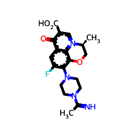 CC(=N)N1CCN(c2c(F)cc3c(=O)c(C(=O)O)cn4c3c2OC[C@@H]4C)CC1